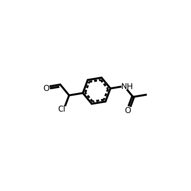 CC(=O)Nc1ccc(C(Cl)C=O)cc1